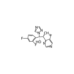 C[C@@H](c1ncncc1F)[C@@](O)(c1ccc(F)cc1F)n1cncn1